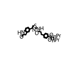 CCCN(CCC)S(=O)(=O)c1ccc(CCC(=O)Nc2nc(-c3ccc4c(c3)CC(=O)N4)cs2)cc1